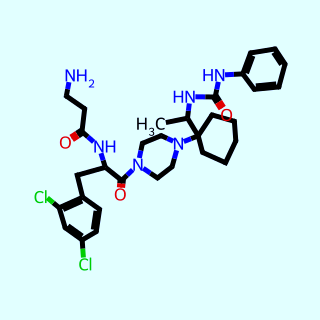 CC(NC(=O)Nc1ccccc1)C1(N2CCN(C(=O)C(Cc3ccc(Cl)cc3Cl)NC(=O)CCN)CC2)CCCCC1